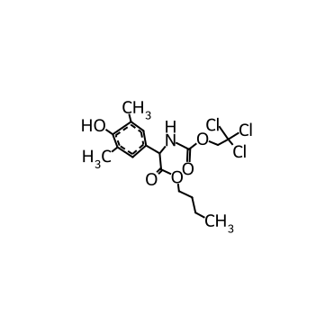 CCCCOC(=O)C(NC(=O)OCC(Cl)(Cl)Cl)c1cc(C)c(O)c(C)c1